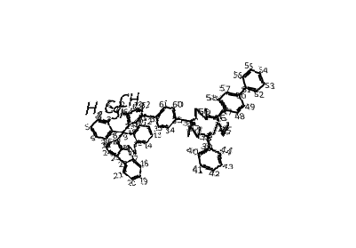 C[Si]1(C)c2ccccc2C2(c3ccccc3-n3c4ccccc4c4cccc2c43)c2cc(-c3ccc(-c4nc(-c5ccccc5)nc(-c5ccc(-c6ccccc6)cc5)n4)cc3)ccc21